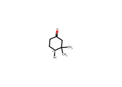 CC(=O)[C@H]1CCC(=O)CC1(C)C